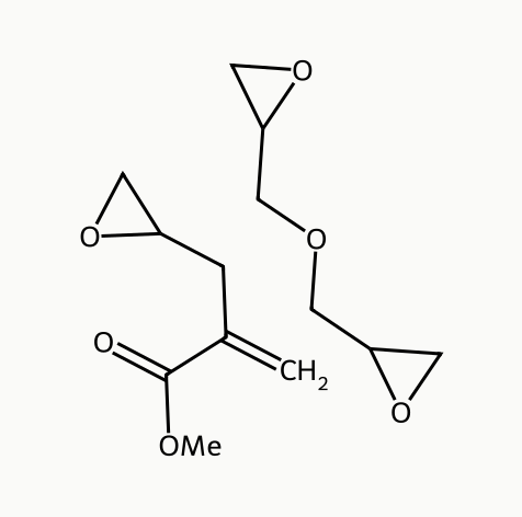 C(OCC1CO1)C1CO1.C=C(CC1CO1)C(=O)OC